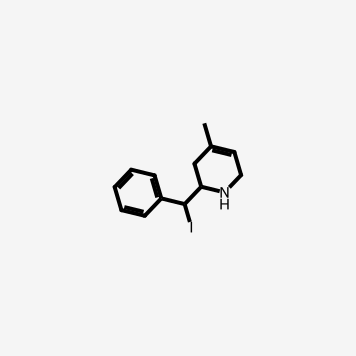 CC1=CCNC(C(I)c2ccccc2)C1